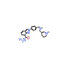 CN1CCCC(CN(C)Cc2ccc(-n3cc4cccc(C(N)=O)c4n3)cc2)C1